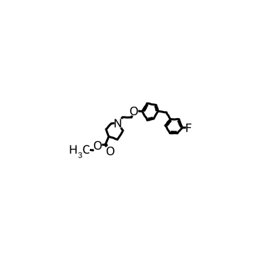 CCOC(=O)C1CCN(CCOc2ccc(Cc3cccc(F)c3)cc2)CC1